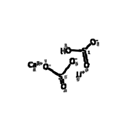 O=S([O-])O.O=S([O-])[O-].[Ca+2].[Li+]